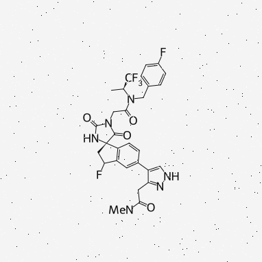 CNC(=O)Cc1n[nH]cc1-c1ccc2c(c1)C(F)C[C@]21NC(=O)N(CC(=O)N(Cc2ccc(F)cc2)[C@@H](C)C(F)(F)F)C1=O